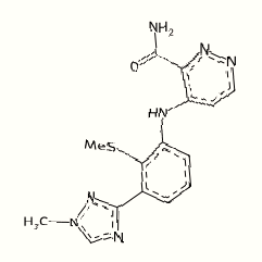 CSc1c(Nc2ccnnc2C(N)=O)cccc1-c1ncn(C)n1